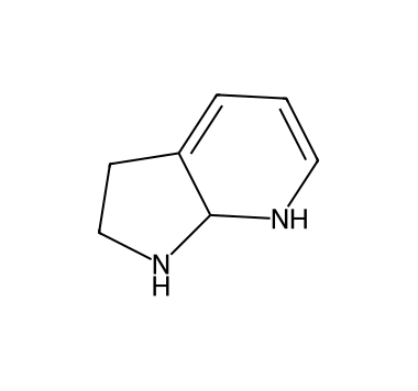 C1=CNC2NCCC2=C1